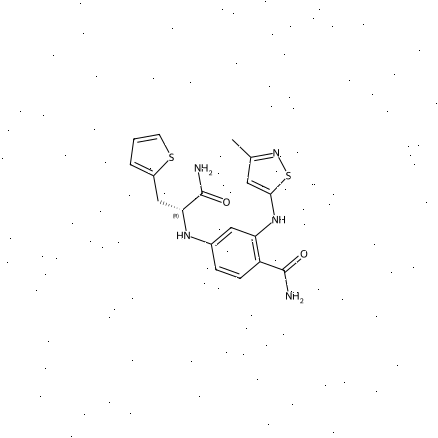 Cc1cc(Nc2cc(N[C@H](Cc3cccs3)C(N)=O)ccc2C(N)=O)sn1